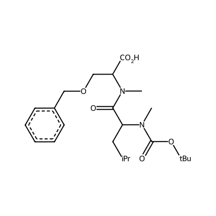 CC(C)CC(C(=O)N(C)C(COCc1ccccc1)C(=O)O)N(C)C(=O)OC(C)(C)C